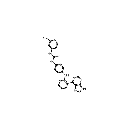 O=C(Nc1ccc(Nc2ncccc2-c2ncnc3[nH]cnc23)cc1)Nc1cccc(C(F)(F)F)c1